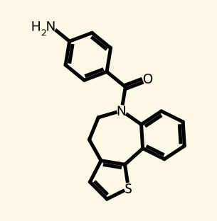 Nc1ccc(C(=O)N2CCc3ccsc3-c3ccccc32)cc1